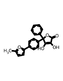 Cc1ccc(-c2ccc(C3(c4ccccc4)OC(=O)C(O)=C3O)cc2)o1